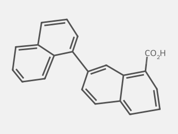 O=C(O)c1cccc2ccc(-c3cccc4ccccc34)cc12